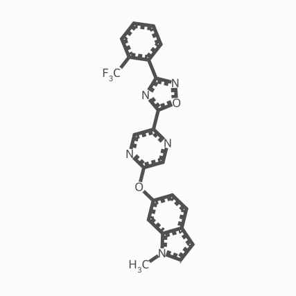 Cn1[c]cc2ccc(Oc3cnc(-c4nc(-c5ccccc5C(F)(F)F)no4)cn3)cc21